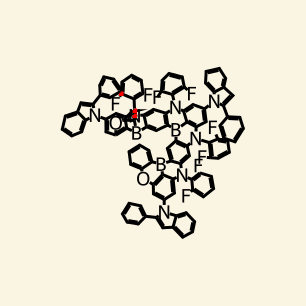 Fc1cccc(F)c1N1c2cc3c(cc2B2c4ccccc4Oc4cc(-n5c(-c6ccccc6)cc6ccccc65)cc1c42)B1c2cc4c(cc2N(c2c(F)cccc2F)c2cc(-n5c(-c6ccccc6)cc6ccccc65)cc(c21)N3c1c(F)cccc1F)N(c1c(F)cccc1F)c1cc(-n2c(-c3ccccc3)cc3ccccc32)cc2c1B4c1ccccc1O2